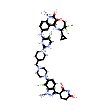 Cn1nc(C2CCC(=O)NC2=O)c2ccc(N3CCN(CC4CCN(c5ncc(Cl)c(Nc6ccc7c(c6)c6c(c(=O)n7C)OCC(F)(F)C(C7CC7)N6)n5)CC4)CC3)c(F)c21